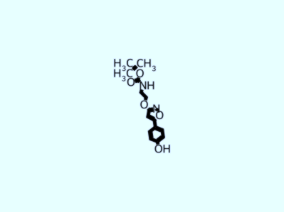 CC(C)(C)OC(=O)NCCOc1cc(-c2ccc(O)cc2)on1